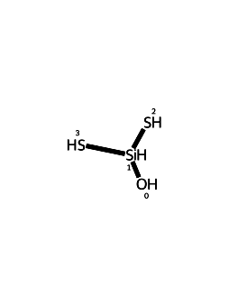 O[SiH](S)S